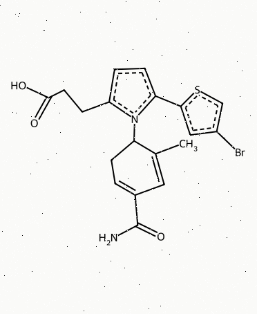 CC1=CC(C(N)=O)=CCC1n1c(CCC(=O)O)ccc1-c1cc(Br)cs1